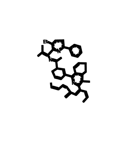 C=C(/C=C\C=C/C)/C=C(/C=C\C)c1nc(C2=CC(/C(C)=N/C(=C(C)C)c3nc(-c4ccccc4)ccc3CC)CC=C2)c2c(c1C)CCC=C2